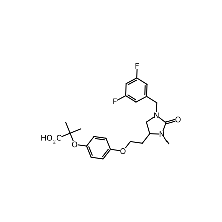 CN1C(=O)N(Cc2cc(F)cc(F)c2)CC1CCOc1ccc(OC(C)(C)C(=O)O)cc1